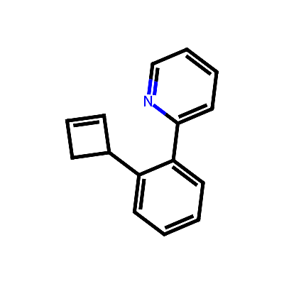 C1=CC(c2ccccc2-c2ccccn2)C1